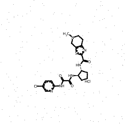 CN1CCc2nc(C(=O)N[C@@H]3CCC[C@H]3NC(=O)C(=O)Nc3ccc(Cl)cn3)sc2C1.Cl